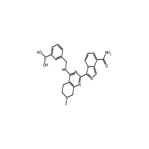 CN1CCc2c(nc(-c3ncc4c(C(N)=O)cccn34)nc2NCc2cccc(B(O)O)c2)C1